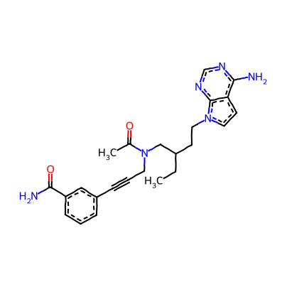 CCC(CCn1ccc2c(N)ncnc21)CN(CC#Cc1cccc(C(N)=O)c1)C(C)=O